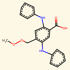 COOCc1cc(Nc2ccccc2)c(C(=O)O)cc1Nc1ccccc1